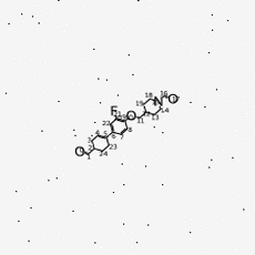 O=CC1CC=C(c2ccc(OCC3CCN(C=O)CC3)c(F)c2)CC1